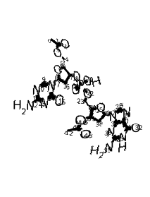 CC(=O)OC[C@H]1O[C@@H](n2cnc(N)nc2=O)CC1OP(=O)(O)OC[C@H]1O[C@@H](n2cnc3c(=O)[nH]c(N)nc32)CC1OC(C)=O